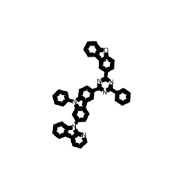 c1ccc(-c2nc(-c3ccc4oc5ccccc5c4c3)nc(-c3ccc4c(c3)c3ccc(-n5c6ccccc6c6cccnc65)cc3n4-c3ccccc3)n2)cc1